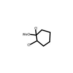 COC1(Cl)CCCCC1Cl